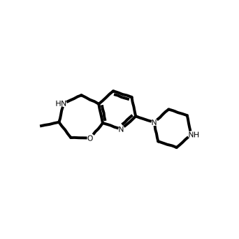 CC1COc2nc(N3CCNCC3)ccc2CN1